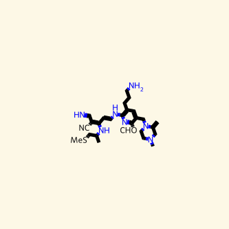 C=C1CN(C)CCN1Cc1cc(CCCN)c(N/C=C/C(NC(C)CSC)=C(/C#N)C=N)nc1C=O